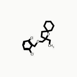 CCC1(COCc2c(Cl)cccc2Cl)CCC2(CCCCC2)O1